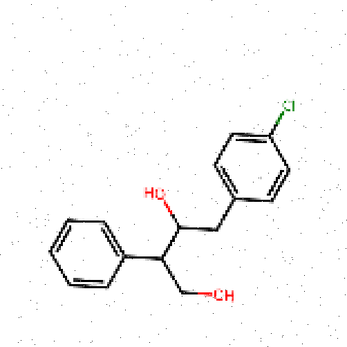 OCC(c1ccccc1)C(O)Cc1ccc(Cl)cc1